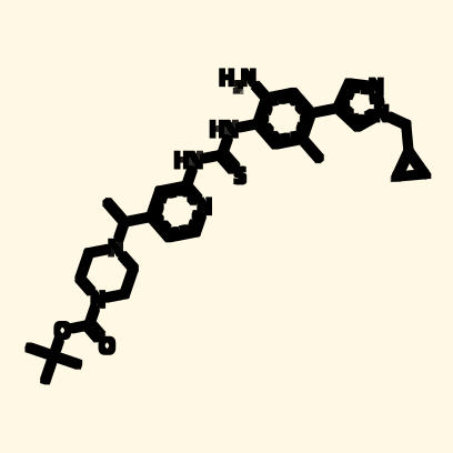 Cc1cc(NC(=S)Nc2cc(C(C)N3CCN(C(=O)OC(C)(C)C)CC3)ccn2)c(N)cc1-c1cnn(CC2CC2)c1